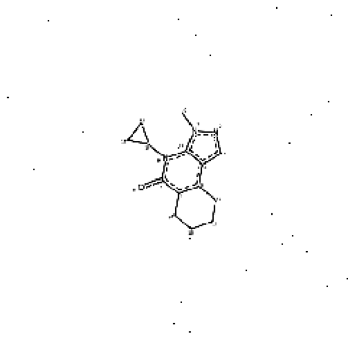 Cn1ncc2c3c(c(=O)n(C4CC4)c21)CCCC3